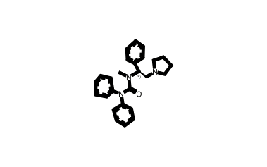 CN(C(=O)N(c1ccccc1)c1ccccc1)[C@H](CN1CCCC1)c1ccccc1